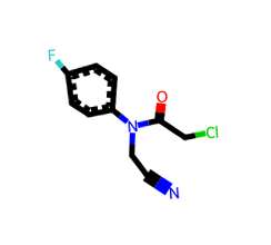 N#CCN(C(=O)CCl)c1ccc(F)cc1